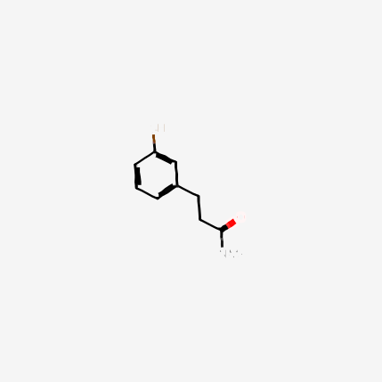 CNC(=O)CCc1cccc(S)c1